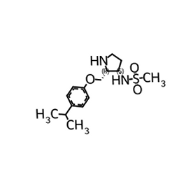 CC(C)c1ccc(OC[C@@H]2NCC[C@@H]2NS(C)(=O)=O)cc1